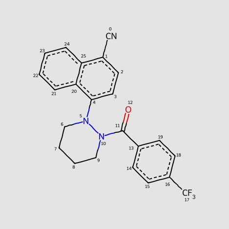 N#Cc1ccc(N2CCCCN2C(=O)c2ccc(C(F)(F)F)cc2)c2ccccc12